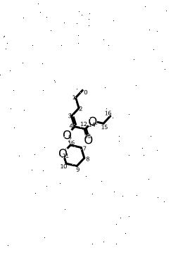 CCCC=C(O[C@@H]1CCCCO1)C(=O)OCC